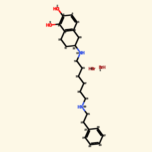 Br.Br.Oc1ccc2c(c1O)CCC(NCCCCCCNCCc1ccccc1)C2